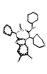 CO[C@@H](c1ccccc1)c1nc2cc(F)c(F)cc2n1C(C(=O)NC1CCCCC1)C1CCSCC1